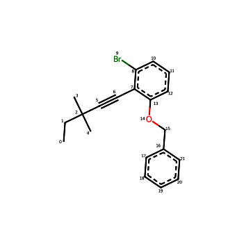 CCC(C)(C)C#Cc1c(Br)cccc1OCc1ccccc1